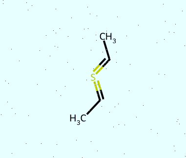 CC=S=CC